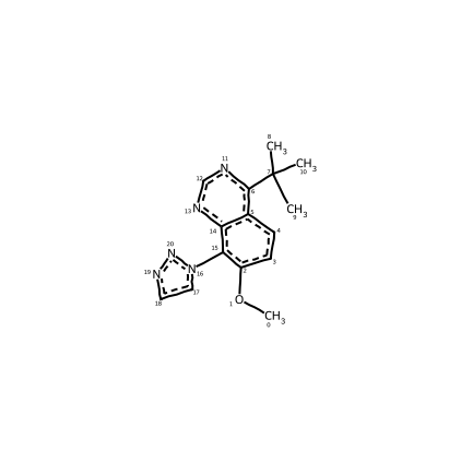 COc1ccc2c(C(C)(C)C)ncnc2c1-n1ccnn1